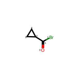 O=C(Br)C1CC1